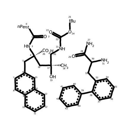 CCCCCC(=O)N[C@](Cc1ccc2ccccc2c1)(C[C@](C)(O)CNC(=O)OC(C)(C)C)C(=O)O.NC(=O)C(N)Cc1ccccc1-c1ccccc1